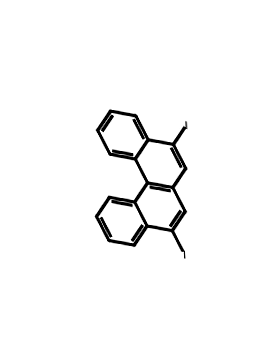 Ic1cc2cc(I)c3ccccc3c2c2ccccc12